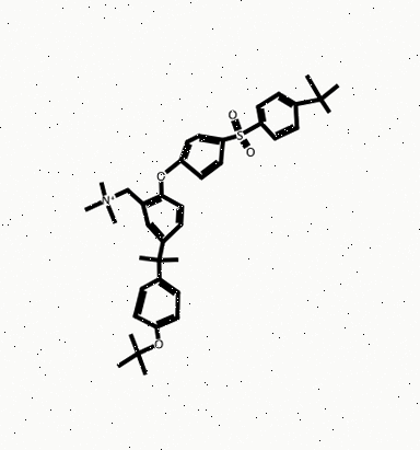 CC(C)(C)Oc1ccc(C(C)(C)c2ccc(Oc3ccc(S(=O)(=O)c4ccc(C(C)(C)C)cc4)cc3)c(C[N+](C)(C)C)c2)cc1